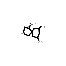 CC1CC(C)CC2(CNCC2C(=O)O)C1